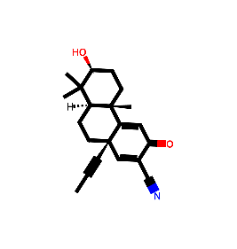 CC#C[C@]12C=C(C#N)C(=O)C=C1[C@@]1(C)CC[C@H](O)C(C)(C)[C@@H]1CC2